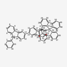 c1ccc(-n2c3ccccc3c3cc(-c4ccc5c(c4)c4ccccc4n5-c4cccc5c4C4(c6ccccc6-c6ccccc64)c4ccccc4-5)ccc32)cc1